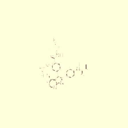 C=C(C)C(=O)Nc1ccc(-c2c(-c3ccc(C(=O)NC4CC(F)C4)c(OC4CC4)c3)c3c(N)ncnc3n2C)cc1